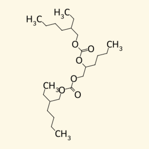 CCCCC(CC)COC(=O)OCC(CCCC)OC(=O)OCC(CC)CCCC